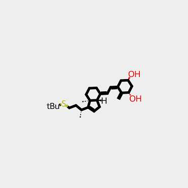 C=C1/C(=C\C=C2/CCC[C@]3(C)C([C@H](C)CCSC(C)(C)C)=CC[C@@H]23)C[C@@H](O)C[C@@H]1O